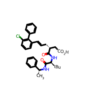 C[C@@H](NC(=O)[C@@H](NC(=O)[C@H](CC=Cc1cccc(Cl)c1-c1ccccc1)CC(=O)O)C(C)(C)C)c1ccccc1